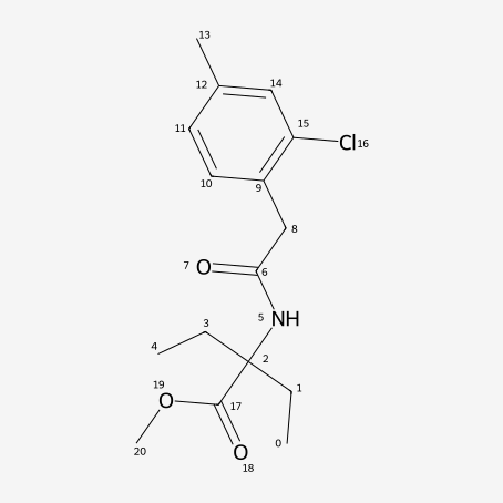 CCC(CC)(NC(=O)Cc1ccc(C)cc1Cl)C(=O)OC